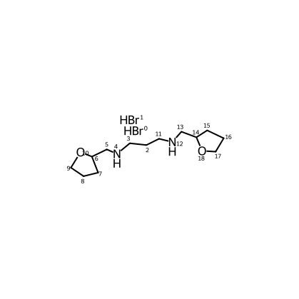 Br.Br.C(CNCC1CCCO1)CNCC1CCCO1